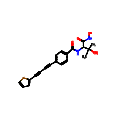 CC(C)(O)C(NC(=O)c1ccc(C#CC#Cc2cccs2)cc1)C(=O)NO